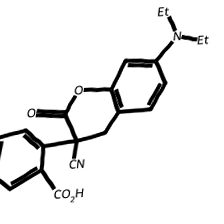 CCN(CC)c1ccc2c(c1)OC(=O)C(C#N)(c1ccccc1C(=O)O)C2